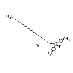 CCCCCCCCCCCCCCCCCCCCCCCCCCC#CC1=C(c2ccc(C)cc2)[N+](=[N-])C(c2ccc(C)cc2)=C1.[Ni]